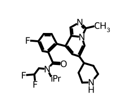 Cc1ncc2c(-c3ccc(F)cc3C(=O)N(CC(F)F)C(C)C)cc(C3CCNCC3)cn12